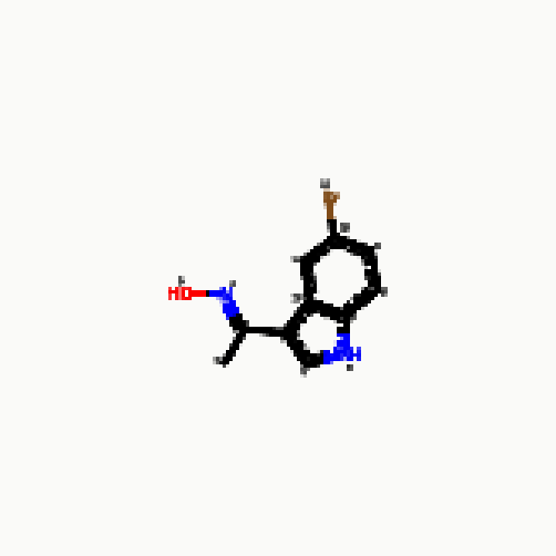 CC(=NO)c1c[nH]c2ccc(Br)cc12